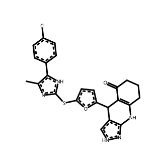 Cc1nc(Sc2ccc(C3C4=C(CCCC4=O)Nc4n[nH]cc43)o2)[nH]c1-c1ccc(Cl)cc1